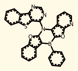 c1ccc(B2c3oc4ncccc4c3N(c3ncnc4c3sc3ccccc34)c3oc4ccccc4c32)cc1